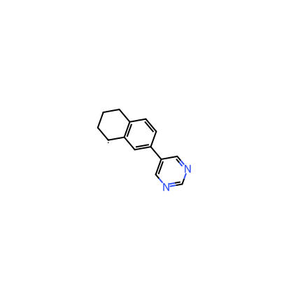 [CH]1CCCc2ccc(-c3cncnc3)cc21